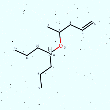 C=CCC(C)O[SiH](CCC)CCC